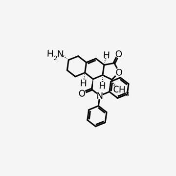 C[C@H]1OC(=O)[C@@H]2C=C3C[C@@H](N)CC[C@@H]3[C@H](C(=O)N(c3ccccc3)c3ccccc3)[C@H]12